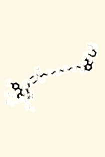 Cc1sc2c(c1C)C(c1ccc(Cl)cc1)=N[C@@H](CC(=O)N1CCN(NC(=O)CCOCCOCCOCCOCCNc3cccc4c3C(=O)N(C3CCC(=O)NC3=O)C4)CC1)c1nnc(C)n1-2